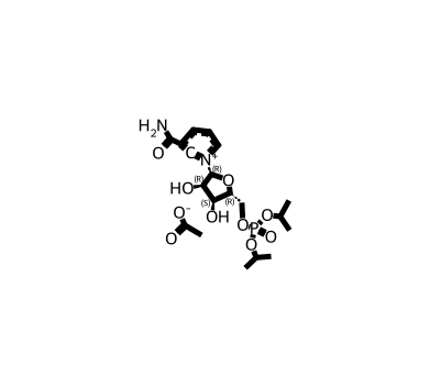 CC(=O)[O-].CC(C)OP(=O)(OC[C@H]1O[C@@H]([n+]2cccc(C(N)=O)c2)[C@H](O)[C@@H]1O)OC(C)C